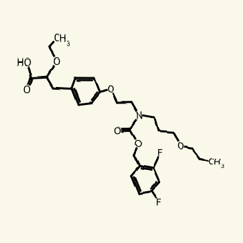 CCCOCCCN(CCOc1ccc(CC(OCC)C(=O)O)cc1)C(=O)OCc1ccc(F)cc1F